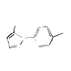 Fc1ccc(-n2nccc2C(F)(F)F)cc1